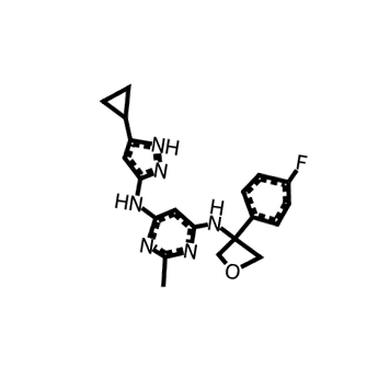 Cc1nc(Nc2cc(C3CC3)[nH]n2)cc(NC2(c3ccc(F)cc3)COC2)n1